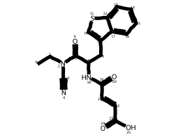 CCN(C#N)C(=O)C(Cc1csc2ccccc12)NC(=O)C=CC(=O)O